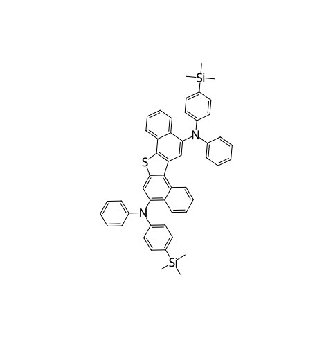 C[Si](C)(C)c1ccc(N(c2ccccc2)c2cc3c(sc4cc(N(c5ccccc5)c5ccc([Si](C)(C)C)cc5)c5ccccc5c43)c3ccccc23)cc1